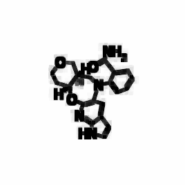 NC(=O)c1ccccc1N1C[C@H]2COCC[C@H]2Oc2nc3[nH]ccc3cc21